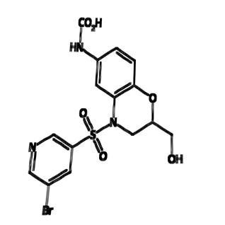 O=C(O)Nc1ccc2c(c1)N(S(=O)(=O)c1cncc(Br)c1)CC(CO)O2